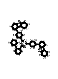 c1ccc(-c2ccccc2-c2nc(-c3ccc(-c4cccc5c4sc4ccccc45)cc3)nc(-c3ccc(-c4cccc5sc6ccccc6c45)cc3)n2)cc1